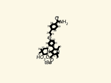 Cc1nc(C)c([C@H](OC(C)(C)C)C(=O)O)c(N2CCC(C)(C)CC2)c1-c1ccc(OCCc2ccc(C(N)=O)cc2)cc1